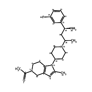 CC(=O)N1CCc2c(nc(C)n2C2CCN(C(C)C[C@H](N)c3cccc(F)c3)CC2)C1